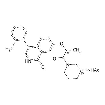 CC(=O)N[C@@H]1CCCN(C(=O)[C@@H](C)Oc2ccc3c(-c4ccccc4C)c[nH]c(=O)c3c2)C1